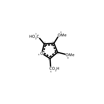 COc1c(C(=O)O)oc(C(=O)O)c1OC